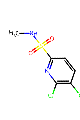 CNS(=O)(=O)c1ccc(Cl)c(Cl)n1